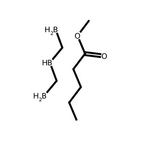 BCBCB.CCCCC(=O)OC